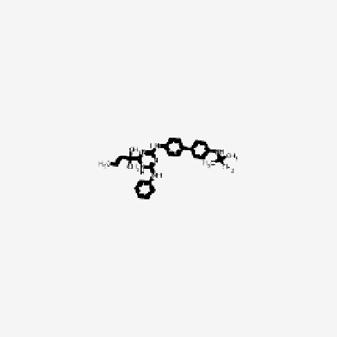 CC=CC(C)(C)C1N=C(Nc2ccc(-c3ccc(NC(C)(C)C)cc3)cc2)N=C(Nc2ccccc2)N1